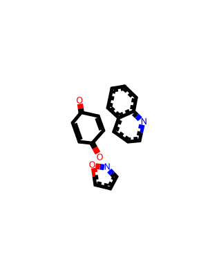 O=C1C=CC(=O)C=C1.c1ccc2ncccc2c1.c1cnoc1